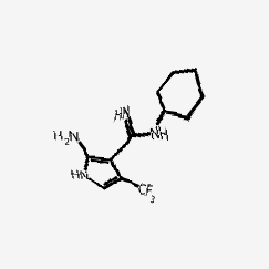 N=C(NC1CCCCC1)c1c(C(F)(F)F)c[nH]c1N